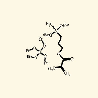 C=C(C)C(=O)OCCC[Si](C)(OC)OC.CCO[Si](OCC)(OCC)OCC